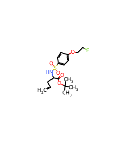 C=CCC(NS(=O)(=O)c1ccc(OCCF)cc1)C(=O)OC(C)(C)C